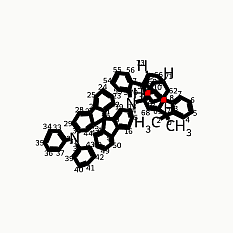 CC1(C)c2ccccc2-c2ccc(N(c3ccc4c(c3)C3(c5ccccc5-c5ccc(N(c6ccccc6)c6ccccc6)cc53)c3ccccc3-4)c3ccccc3C3[C@H]4C[C@@H]5C[C@@H](C[C@H]3C5)C4)cc21